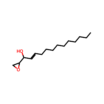 CCCCCCCCCCC=CC(O)C1CO1